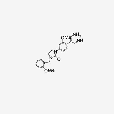 COc1ccccc1CN1CCN(c2ccc(/C(C=N)=C/N)c(OC)c2)C1=O